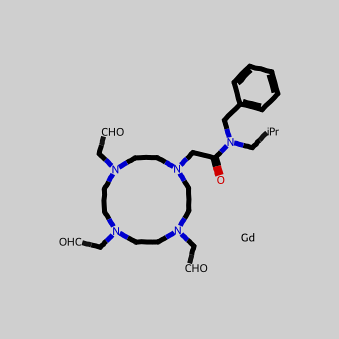 CC(C)CN(Cc1ccccc1)C(=O)CN1CCN(CC=O)CCN(CC=O)CCN(CC=O)CC1.[Gd]